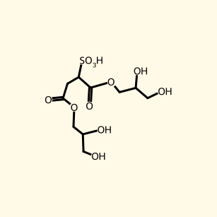 O=C(CC(C(=O)OCC(O)CO)S(=O)(=O)O)OCC(O)CO